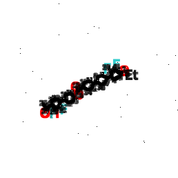 CCOc1ccc(C2CCC(C3CCC(C(=O)OC4CCC(c5ccc(C(C)O)c(F)c5F)CC4)CC3)CC2)c(F)c1F